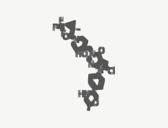 C[C@H]1CN[C@H](c2ccc(-n3c(Cl)cc4c(=O)n(CC5(O)CCN(C(=O)[C@]6(C)C[C@H]6C(F)(F)F)CC5)cnc43)cc2)CO1